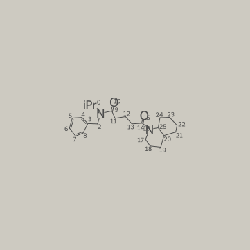 CC(C)N(Cc1ccccc1)C(=O)CCCC(=O)N1CCCC2CCCCC21